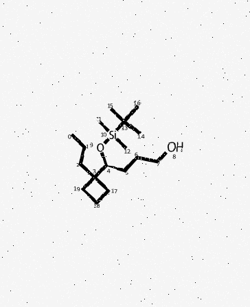 CCCC1([C@H](CCCO)O[Si](C)(C)C(C)(C)C)CCC1